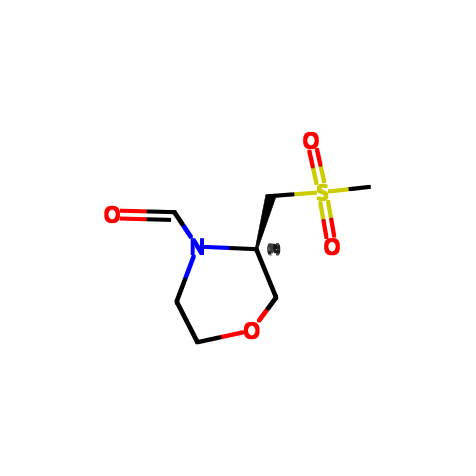 CS(=O)(=O)C[C@H]1COCCN1C=O